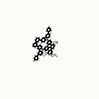 Cc1cc(-c2ccc(C#N)c(-c3ccc(-n4c5ccc(-c6ccccc6)cc5c5cc(-c6ccccc6)ccc54)cc3)c2-c2ccc(-n3c4ccc(-c5ccccc5)cc4c4cc(-c5ccccc5)ccc43)cc2)cc(C)n1